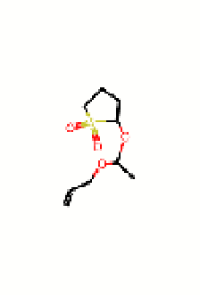 C=CCOC(C)OC1CCCS1(=O)=O